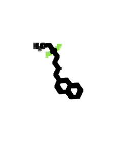 CCC(F)(F)CC[CH]Cc1ccc2ccccc2c1